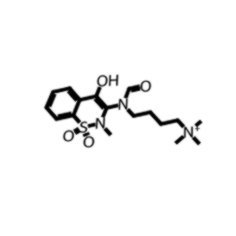 CN1C(N(C=O)CCCC[N+](C)(C)C)=C(O)c2ccccc2S1(=O)=O